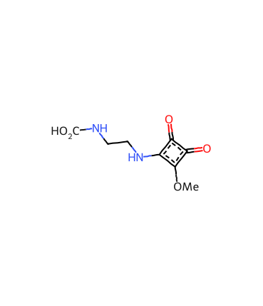 COc1c(NCCNC(=O)O)c(=O)c1=O